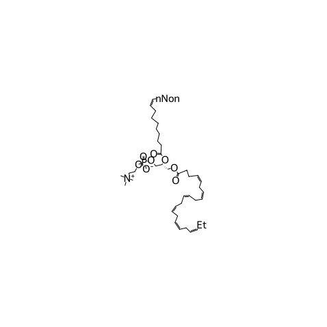 CC/C=C\C/C=C\C/C=C\C/C=C\C/C=C\C/C=C\CCC(=O)OC[C@H](COP(=O)([O-])OCC[N+](C)(C)C)OC(=O)CCCCCCC/C=C\CCCCCCCCC